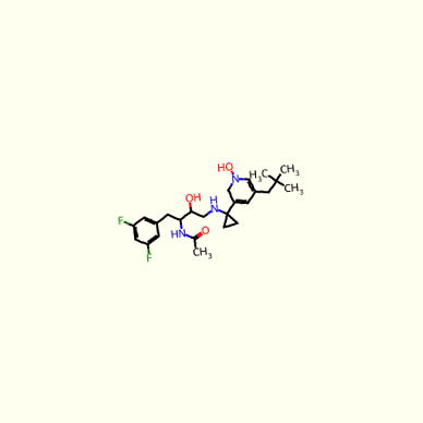 CC(=O)NC(Cc1cc(F)cc(F)c1)C(O)CNC1(C2=CC(CC(C)(C)C)=CN(O)C2)CC1